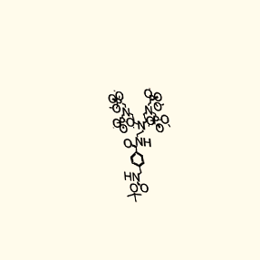 COP(=O)(CN(CCN(CCNC(=O)c1ccc(CNC(=O)OC(C)(C)C)cc1)CCN(CP(=O)(OC)OC)CP(=O)(OC)OC)CP(=O)(OC)OC)OC